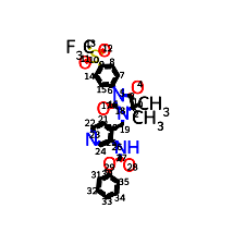 CC1(C)C(=O)N(c2ccc(S(=O)(=O)C(F)(F)F)cc2)C(=O)N1Cc1ccncc1NC(=O)Oc1ccccc1